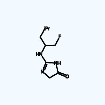 CC(C)CC(CF)NC1=NCC(=O)N1